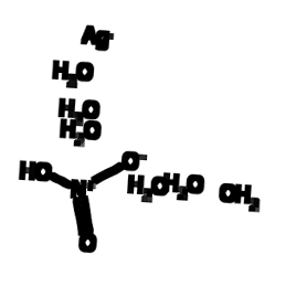 O.O.O.O.O.O.O=[N+]([O-])O.[Ag]